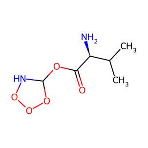 CC(C)[C@H](N)C(=O)OC1NOOO1